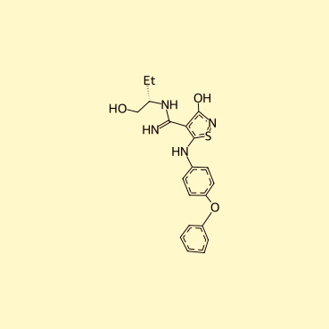 CC[C@@H](CO)NC(=N)c1c(O)nsc1Nc1ccc(Oc2ccccc2)cc1